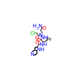 CC(C)CC(NC(=O)c1cc2cnccc2[nH]1)C(=O)NN(CCC(N)=O)C(=O)CCl